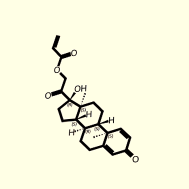 C=CC(=O)OCC(=O)[C@@]1(O)CC[C@H]2[C@@H]3CCC4=CC(=O)C=C[C@]4(C)[C@H]3CC[C@@]21C